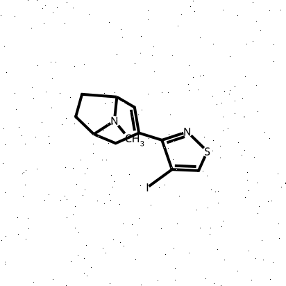 CN1C2C=C(c3nscc3I)CC1CC2